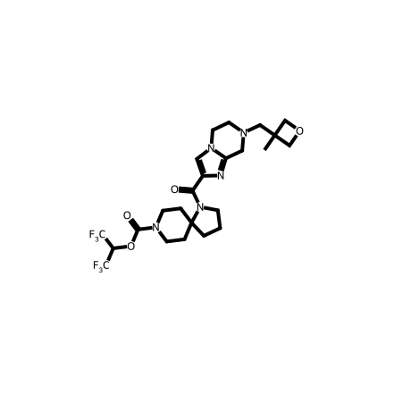 CC1(CN2CCn3cc(C(=O)N4CCCC45CCN(C(=O)OC(C(F)(F)F)C(F)(F)F)CC5)nc3C2)COC1